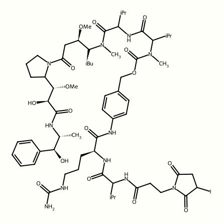 CC[C@H](C)C([C@@H](CC(=O)N1CCCC1[C@H](OC)[C@H](O)C(=O)N[C@H](C)[C@@H](O)c1ccccc1)OC)N(C)C(=O)C(NC(=O)C(C(C)C)N(C)C(=O)OCc1ccc(NC(=O)[C@H](CCCNC(N)=O)NC(=O)C(NC(=O)CCN2C(=O)CC(I)C2=O)C(C)C)cc1)C(C)C